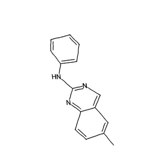 Cc1ccc2nc(Nc3ccccc3)ncc2c1